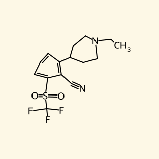 CCN1CCC(c2cccc(S(=O)(=O)C(F)(F)F)c2C#N)CC1